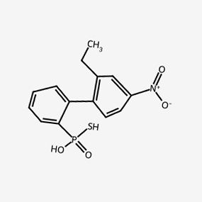 CCc1cc([N+](=O)[O-])ccc1-c1ccccc1P(=O)(O)S